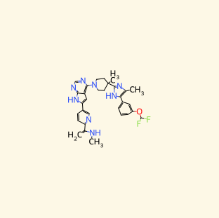 C=C(NC)c1ccc(-c2cc3c(N4CCC(C)(c5nc(C)c(-c6cccc(OC(F)F)c6)[nH]5)CC4)ncnc3[nH]2)cn1